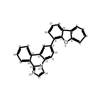 c1ccc2c(c1)oc1c(-c3ccc4c(c3)c3ccccc3c3nccn43)cccc12